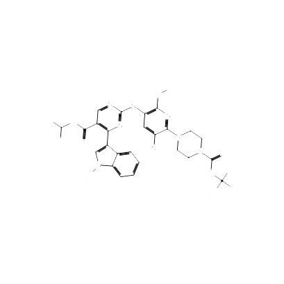 COc1nc(N2CCN(C(=O)OC(C)(C)C)CC2)c(N)cc1Nc1ncc(C(=O)OC(C)C)c(-c2cn(C)c3ccccc23)n1